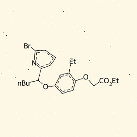 CCCCC(Oc1ccc(OCC(=O)OCC)c(CC)c1)c1cccc(Br)n1